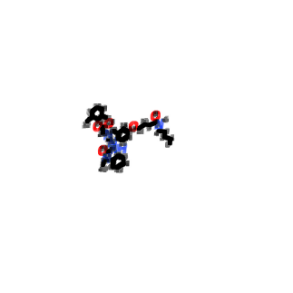 CCCCCN(C)C(=O)CCCOc1ccc2c(c1)CN(CC(=O)OC1C(C)CCCC1C)CN2NC(=O)N(CC)c1ccccc1